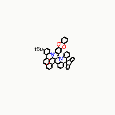 CC(C)(C)c1ccc(N2c3cc4c(cc3B3c5c2cc2ccccc2c5-c2cccc5c2N3c2ccccc2C52c3ccccc3-c3ccccc32)Oc2ccccc2O4)c(-c2ccccc2)c1